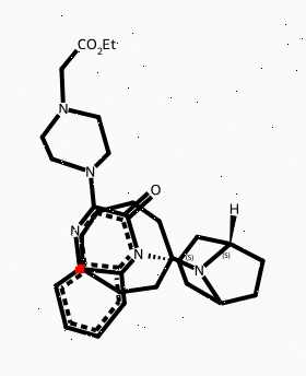 CCOC(=O)CN1CCN(c2nc3ccccc3n([C@H]3CC4CC[C@@H](C3)N4C3CCCCCCC3)c2=O)CC1